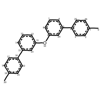 Cc1ccc(-c2cccc(Oc3cccc(-c4ccc(C)cc4)c3)c2)cc1